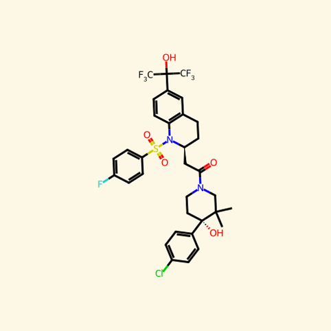 CC1(C)CN(C(=O)C[C@@H]2CCc3cc(C(O)(C(F)(F)F)C(F)(F)F)ccc3N2S(=O)(=O)c2ccc(F)cc2)CC[C@]1(O)c1ccc(Cl)cc1